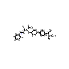 CC(=O)N(CC1CCN(c2ncc(C(=O)NO)cn2)CC1)C(C)/C=C/c1ccccc1